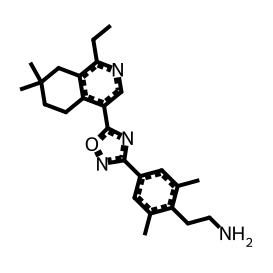 CCc1ncc(-c2nc(-c3cc(C)c(CCN)c(C)c3)no2)c2c1CC(C)(C)CC2